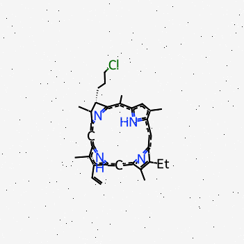 C=Cc1c(C)c2cc3nc(c(C)c4cc(C)c(cc5nc(cc1[nH]2)C(C)=C5CC)[nH]4)[C@@H](CCCCl)C3C